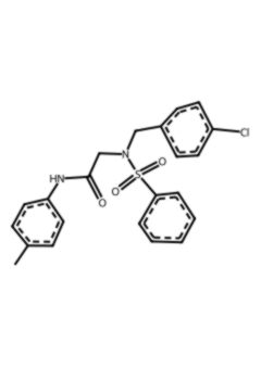 Cc1ccc(NC(=O)CN(Cc2ccc(Cl)cc2)S(=O)(=O)c2ccccc2)cc1